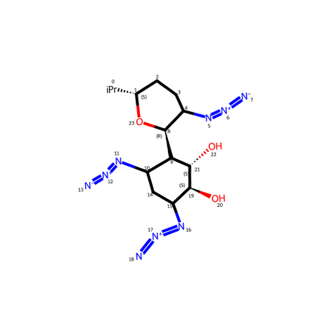 CC(C)[C@@H]1CCC(N=[N+]=[N-])[C@@H](C2C(N=[N+]=[N-])CC(N=[N+]=[N-])[C@H](O)[C@H]2O)O1